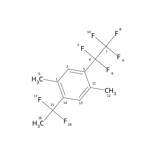 Cc1cc(C(F)(F)C(F)(F)F)c(C)cc1C(C)(F)F